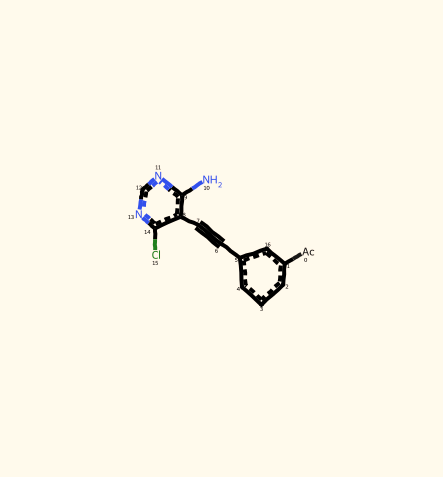 CC(=O)c1cccc(C#Cc2c(N)ncnc2Cl)c1